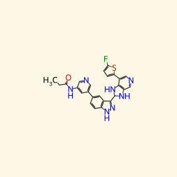 CCC(=O)Nc1cncc(-c2ccc3[nH]nc(C4Nc5cncc(-c6ccc(F)s6)c5N4)c3c2)c1